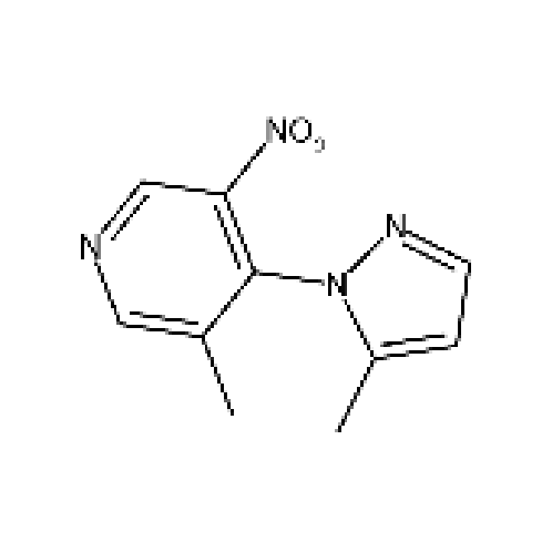 Cc1cncc([N+](=O)[O-])c1-n1nccc1C